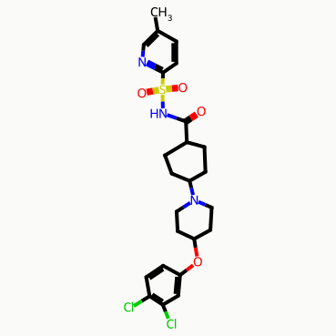 Cc1ccc(S(=O)(=O)NC(=O)C2CCC(N3CCC(Oc4ccc(Cl)c(Cl)c4)CC3)CC2)nc1